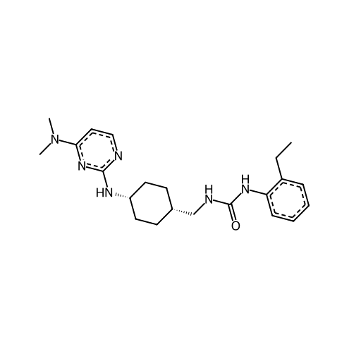 CCc1ccccc1NC(=O)NC[C@H]1CC[C@@H](Nc2nccc(N(C)C)n2)CC1